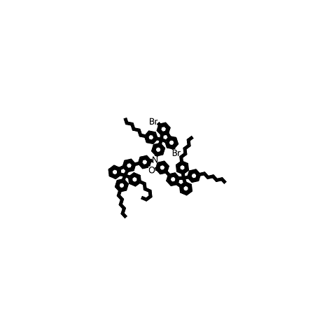 CCCCCCc1ccc(C2(c3ccc(N4c5ccc(-c6ccc7c(c6)C(c6ccc(CCCCCC)cc6)(c6ccc(CCCCCC)cc6)c6ccccc6-7)cc5Oc5cc(-c6ccc7c(c6)C(c6ccc(CCCCCC)cc6)(c6ccc(CCCCCC)cc6)c6ccccc6-7)ccc54)cc3)c3cc(Br)ccc3-c3ccc(Br)cc32)cc1